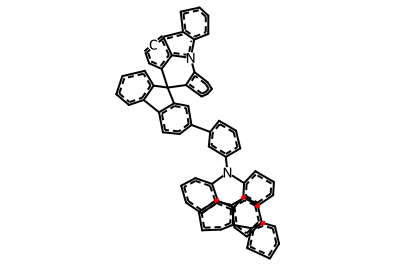 c1ccc(-c2ccccc2-c2ccccc2N(c2cccc(-c3ccc4c(c3)C3(c5ccccc5-4)c4ccccc4-n4c5ccccc5c5cccc3c54)c2)c2ccccc2-c2ccccc2)cc1